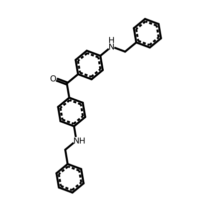 O=C(c1ccc(NCc2ccccc2)cc1)c1ccc(NCc2ccccc2)cc1